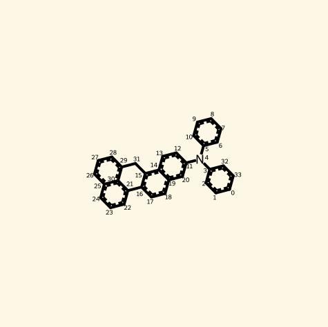 c1ccc(N(c2ccccc2)c2ccc3c4c(ccc3c2)-c2cccc3cccc(c23)C4)cc1